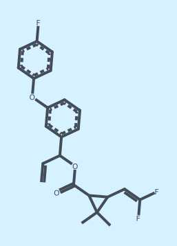 C=CC(OC(=O)C1C(C=C(F)F)C1(C)C)c1cccc(Oc2ccc(F)cc2)c1